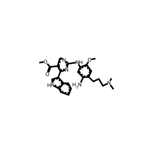 COC(=O)c1cnc(Nc2cc(N)c(CCCN(C)C)cc2OC)nc1-c1c[nH]c2ccccc12